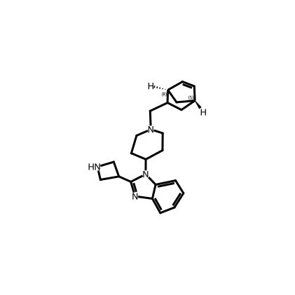 C1=C[C@H]2C[C@H]1CC2CN1CCC(n2c(C3CNC3)nc3ccccc32)CC1